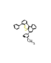 Cc1cccc(-c2cc3ccccc3c3c2sc2c(-c4ccccc4)cccc23)c1